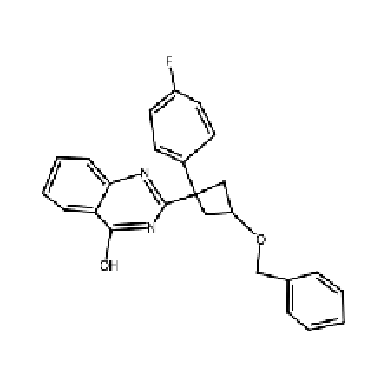 Oc1nc(C2(c3ccc(F)cc3)CC(OCc3ccccc3)C2)nc2ccccc12